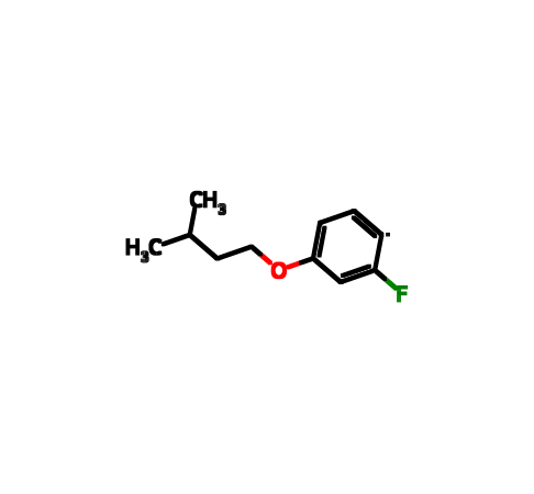 CC(C)CCOc1cc[c]c(F)c1